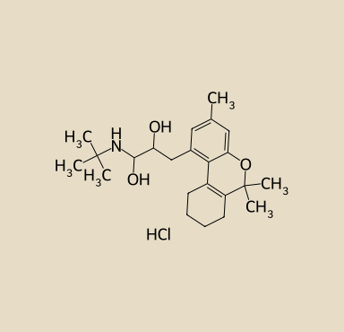 Cc1cc(CC(O)C(O)NC(C)(C)C)c2c(c1)OC(C)(C)C1=C2CCCC1.Cl